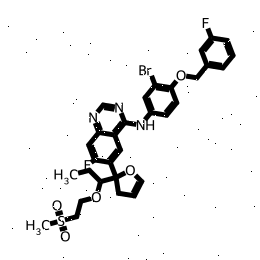 CCC(OCCS(C)(=O)=O)C1(c2cc3c(Nc4ccc(OCc5cccc(F)c5)c(Br)c4)ncnc3cc2F)CC=CO1